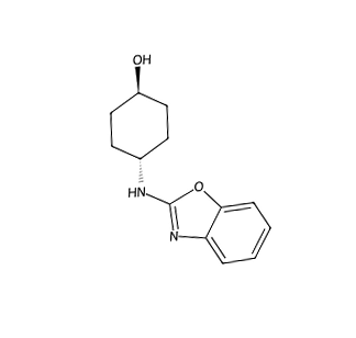 O[C@H]1CC[C@H](Nc2nc3ccccc3o2)CC1